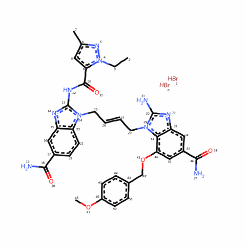 Br.Br.CCn1nc(C)cc1C(=O)Nc1nc2cc(C(N)=O)ccc2n1CC=CCn1c(N)nc2cc(C(N)=O)cc(OCc3ccc(OC)cc3)c21